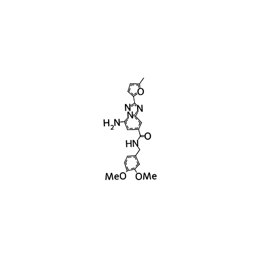 COc1ccc(CNC(=O)c2cc(N)n3nc(-c4ccc(C)o4)nc3c2)cc1OC